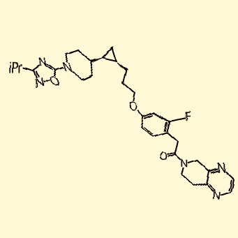 CC(C)c1noc(N2CCC([C@H]3C[C@H]3CCCOc3ccc(CC(=O)N4CCc5nccnc5C4)c(F)c3)CC2)n1